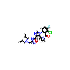 C=CCN(CC=C)Cc1noc(-c2ncn3c2[C@@H]2CCN2C(=O)c2c-3ccc(F)c2Cl)n1